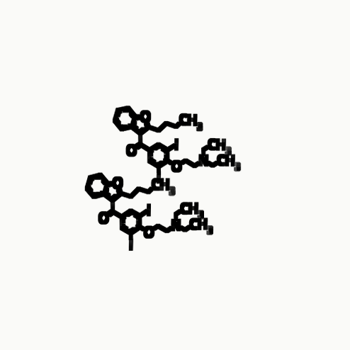 CCCCc1oc2ccccc2c1C(=O)c1cc(I)c(OCCN(CC)CC)c(I)c1.CCCCc1oc2ccccc2c1C(=O)c1cc(I)c(OCCN(CC)CC)c(I)c1